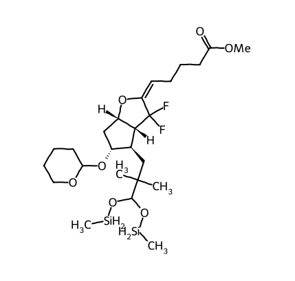 COC(=O)CCCC=C1O[C@H]2C[C@@H](OC3CCCCO3)[C@H](CC(C)(C)C(O[SiH2]C)O[SiH2]C)[C@H]2C1(F)F